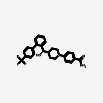 NC(=O)c1ccc(N2CCC([C@H](O)c3ccccc3-c3ccc(C(F)(F)F)cc3)CC2)cc1